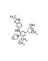 CCC(CC(=O)O)c1ccc(N2CCOC[C@H]2C(C)C)c(Nc2ccc3nc(C)sc3c2)c1